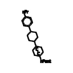 CCCCCC12CCC(C3CCC(c4ccc(CCC)cc4)CC3)(CC1)CC2